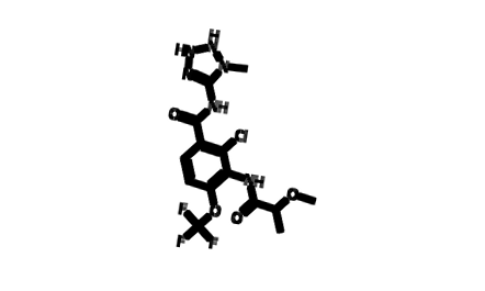 COC(C)C(=O)Nc1c(OC(F)(F)F)ccc(C(=O)NC2=NNNN2C)c1Cl